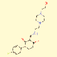 O=C1CCC(c2ccc(F)cc2)C(=O)C1=CNCCN1CCN(CCO)CC1